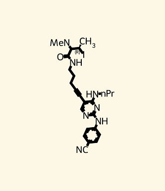 CCCNc1nc(Nc2ccc(C#N)cc2)ncc1C#CCCCNC(=O)C(NC)[C@@H](C)I